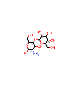 N[C@@H]1C(O)OC(CO)[C@@H](O[C@@H]2OC(CO)[C@H](O)C(O)[C@@H]2O)C1O